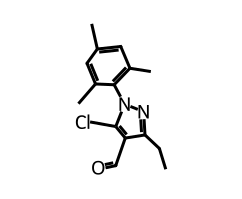 CCc1nn(-c2c(C)cc(C)cc2C)c(Cl)c1C=O